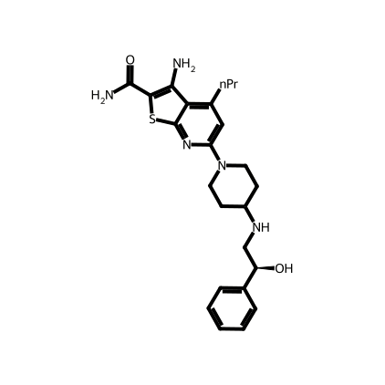 CCCc1cc(N2CCC(NC[C@@H](O)c3ccccc3)CC2)nc2sc(C(N)=O)c(N)c12